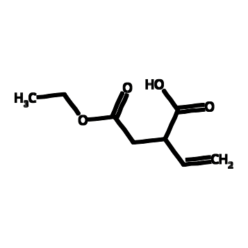 C=CC(CC(=O)OCC)C(=O)O